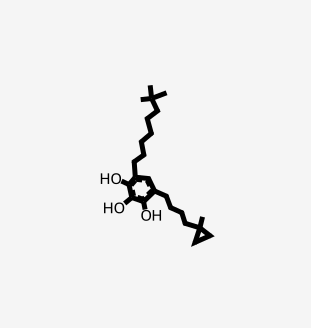 CC(C)(C)CCCCCCc1cc(CCCCC2(C)CC2)c(O)c(O)c1O